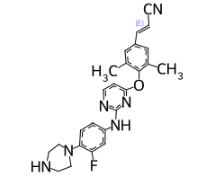 Cc1cc(/C=C/C#N)cc(C)c1Oc1ccnc(Nc2ccc(N3CCNCC3)c(F)c2)n1